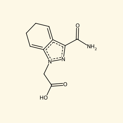 NC(=O)c1nn(CC(=O)O)c2c1=CCCC=2